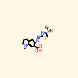 CN1CCCc2cc(N=Nc3nc([N+](=O)[O-])cs3)c(C(=O)O)cc21